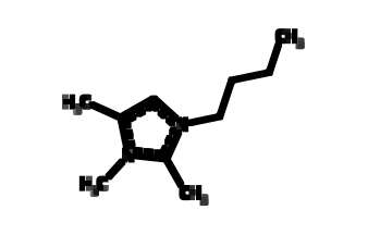 CCCCn1cc(C)[n+](C)c1C